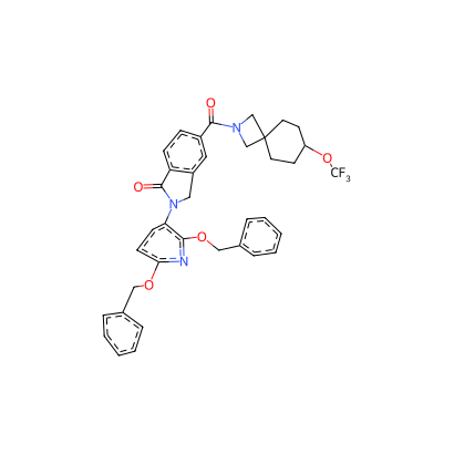 O=C(c1ccc2c(c1)CN(c1ccc(OCc3ccccc3)nc1OCc1ccccc1)C2=O)N1CC2(CCC(OC(F)(F)F)CC2)C1